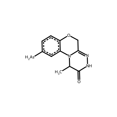 CC1C(=O)NN=C2COc3ccc([AsH2])cc3N21